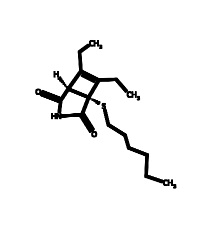 CCCCCCS[C@]12C(=O)NC(=O)[C@H]1C(CC)=C2CC